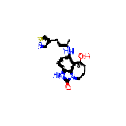 C[C@H](CCc1cnsc1)Nc1ccc2[nH]c(=O)n3c2c1[C@H](O)CCC3